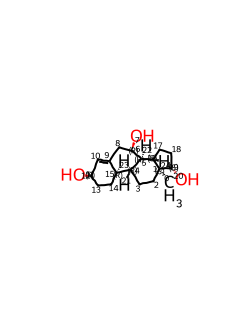 C[C@]12CC[C@H]3[C@@H]([C@H](O)CC4=C[C@H](O)CC[C@@H]43)[C@@H]1CC[C@@H]2O